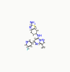 CC(C)c1cnn2c(N[C@H]3CCc4nc(N)sc4C3)cc(-c3cncc(F)c3)nc12